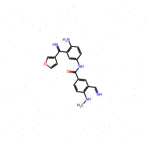 CNc1ccc(C(=O)Nc2ccc(N)c(C(=N)c3ccoc3)c2)cc1C=N